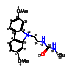 COc1ccc2c3ccc(OC)cc3n(CCNC(=O)NC(C)(C)C)c2c1